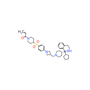 C=CC(=O)N1CCC(S(=O)(=O)c2ccc(N3CC(CN4CCC([C@@]5(C6CCCC6)NCCc6ccccc65)CC4)C3)cc2)CC1